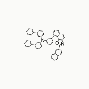 c1ccc(-c2cccc(N(c3cccc(-c4ccccc4)c3)c3cccc(-c4cccc5ccc6nc(-c7ccc8ccccc8c7)oc6c45)c3)c2)cc1